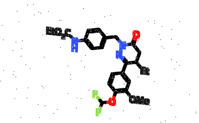 CCOC(=O)Nc1ccc(CN2N=C(c3ccc(OC(F)F)c(OC)c3)C(CC)CC2=O)cc1